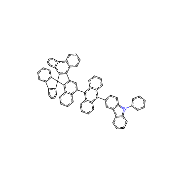 c1ccc(-n2c3ccccc3c3cc(-c4c5ccccc5c(-c5cc6c(c7ccccc57)C5(c7ccccc7-c7ccccc75)c5c-6c6ccccc6c6ccccc56)c5ccccc45)ccc32)cc1